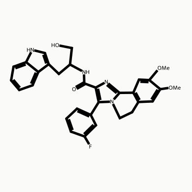 COc1cc2c(cc1OC)-c1nc(C(=O)NC(CO)Cc3c[nH]c4ccccc34)c(-c3cccc(F)c3)n1CC2